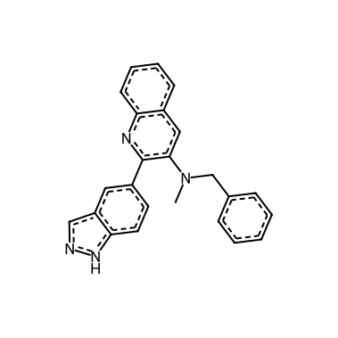 CN(Cc1ccccc1)c1cc2ccccc2nc1-c1ccc2[nH]ncc2c1